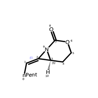 CCCCC/C=C1\[C@@H]2CCOC(=O)N12